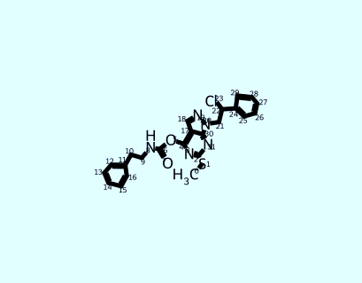 CSc1nc(OC(=O)NCCc2ccccc2)c2cnn(CC(Cl)c3ccccc3)c2n1